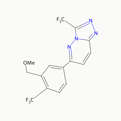 COCc1cc(-c2ccc3nnc(C(F)(F)F)n3n2)ccc1C(F)(F)F